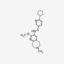 COc1nc2c(cc1NSc1ccc(C3CCCC3)nc1)CCN(C)CC2